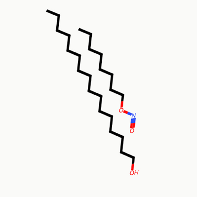 CCCCCCCCCCCCCCCCO.CCCCCCCCON=O